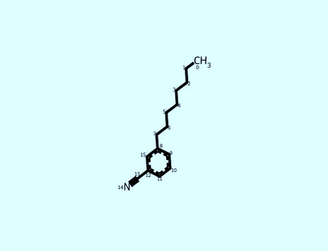 CCCCCCCCc1cccc(C#N)c1